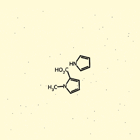 Cn1cccc1C(=O)O.c1cc[nH]c1